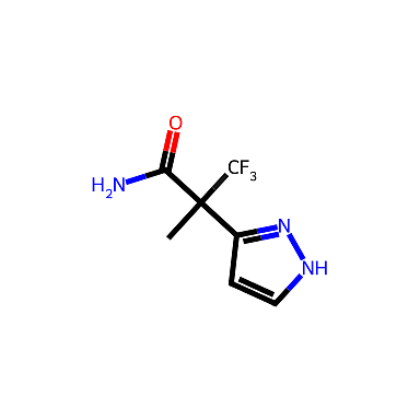 CC(C(N)=O)(c1cc[nH]n1)C(F)(F)F